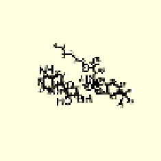 CCCCCCOC(=O)[C@H](C)NP(=O)(OC[C@H]1O[C@@](C)(c2ccc3c(N)ncnn23)[C@H](O)[C@@H]1O)Oc1ccc(C(C)(C)C)cc1